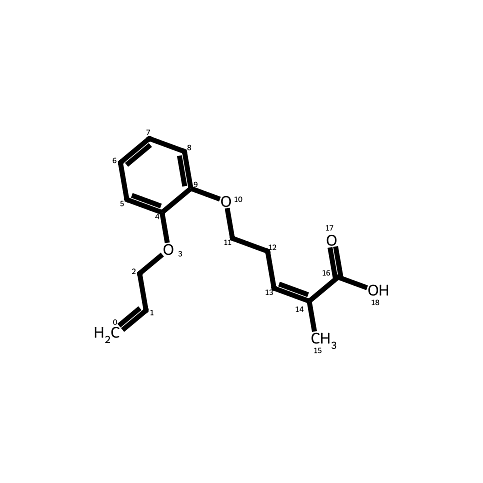 C=CCOc1ccccc1OCCC=C(C)C(=O)O